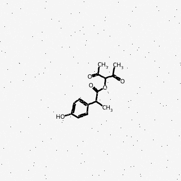 CC(=O)C(OC(=O)C(C)c1ccc(O)cc1)C(C)=O